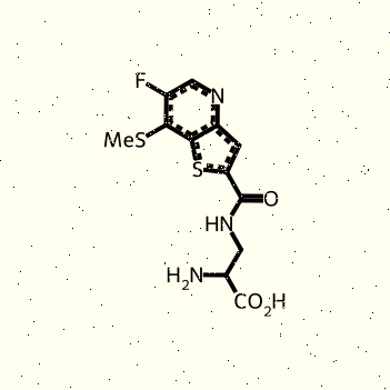 CSc1c(F)cnc2cc(C(=O)NCC(N)C(=O)O)sc12